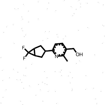 Cc1nc(C2CC3C(C2)C3(F)F)ccc1CO